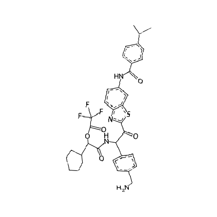 CC(C)c1ccc(C(=O)Nc2ccc3nc(C(=O)C(NC(=O)C(OC(=O)C(F)(F)F)C4CCCCC4)c4ccc(CN)cc4)sc3c2)cc1